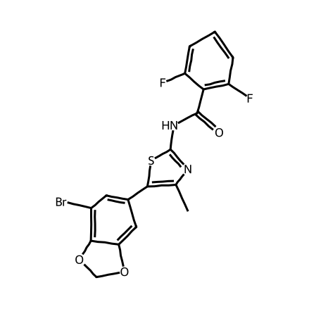 Cc1nc(NC(=O)c2c(F)cccc2F)sc1-c1cc(Br)c2c(c1)OCO2